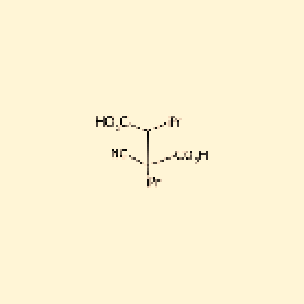 CC(C)C(C(=O)O)C(C#N)(C(=O)O)C(C)C